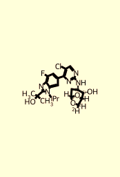 [2H]C1([2H])O[C@@H]2C[C@@H](Nc3ncc(Cl)c(-c4cc(F)c5nc(C(C)(C)O)n(C(C)C)c5c4)n3)[C@H](O)[C@H]1O2